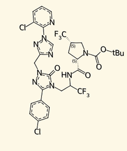 CC(C)(C)OC(=O)N1C[C@@H](C(F)(F)F)C[C@H]1C(=O)NC(Cn1c(-c2ccc(Cl)cc2)nn(Cc2ncn(-c3ncccc3Cl)n2)c1=O)C(F)(F)F